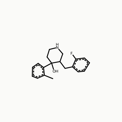 Cc1ccccc1C1(O)CCNCC1Cc1ccccc1F